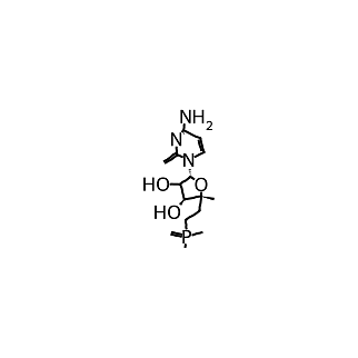 C=C1N=C(N)C=CN1[C@@H]1O[C@](C)(CCP(=C)(C)C)[C@@H](O)C1O